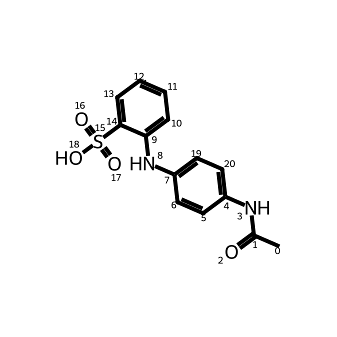 CC(=O)Nc1ccc(Nc2cc[c]cc2S(=O)(=O)O)cc1